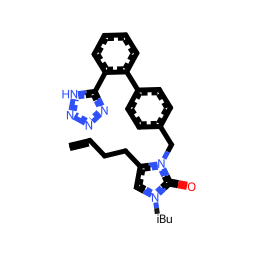 C=CCCc1cn(C(C)CC)c(=O)n1Cc1ccc(-c2ccccc2-c2nnn[nH]2)cc1